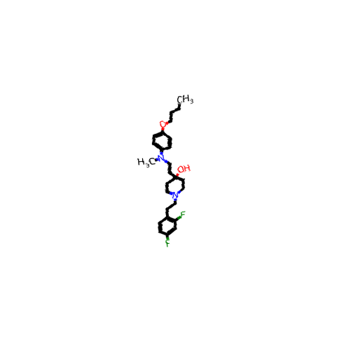 CCCCOc1ccc(N(C)CCC2(O)CCN(CCc3ccc(F)cc3F)CC2)cc1